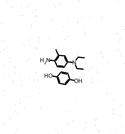 CCN(CC)c1ccc(N)c(C)c1.Oc1ccc(O)cc1